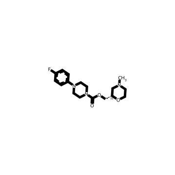 CN1CCO[C@H](COC(=O)N2CCN(c3ccc(F)cc3)CC2)C1